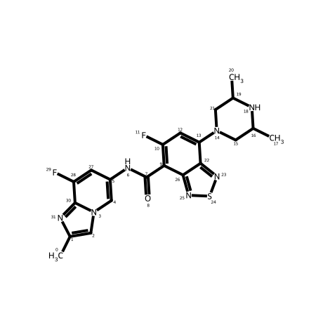 Cc1cn2cc(NC(=O)c3c(F)cc(N4CC(C)NC(C)C4)c4nsnc34)cc(F)c2n1